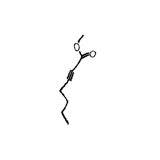 CCCCC#CC(=O)OC